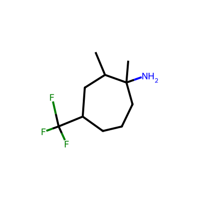 CC1CC(C(F)(F)F)CCCC1(C)N